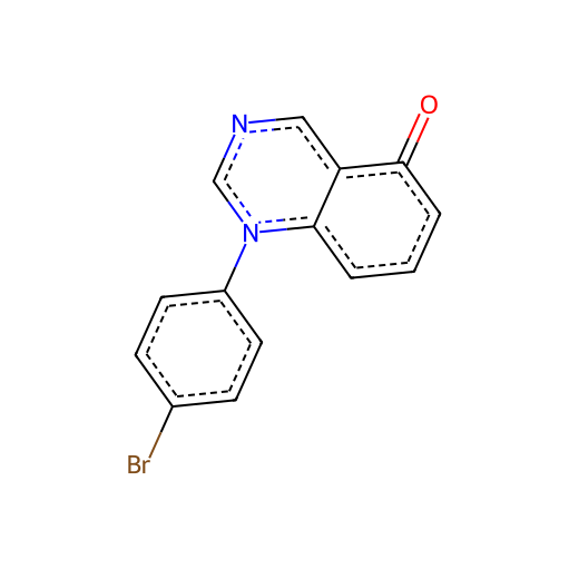 O=c1cccc2n(-c3ccc(Br)cc3)cncc1-2